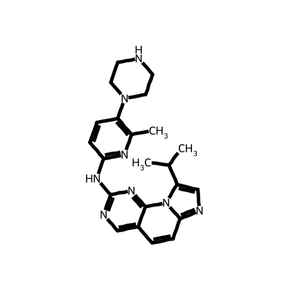 Cc1nc(Nc2ncc3ccc4ncc(C(C)C)n4c3n2)ccc1N1CCNCC1